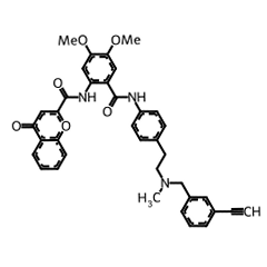 C#Cc1cccc(CN(C)CCc2ccc(NC(=O)c3cc(OC)c(OC)cc3NC(=O)c3cc(=O)c4ccccc4o3)cc2)c1